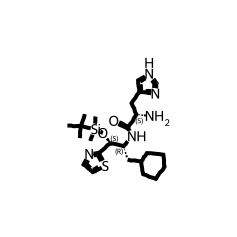 CC(C)(C)[Si](C)(C)O[C@H](c1nccs1)[C@@H](CC1CCCCC1)NC(=O)[C@@H](N)Cc1c[nH]cn1